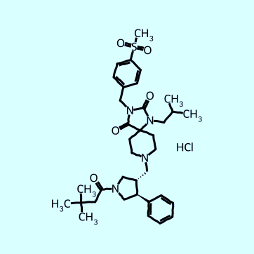 CC(C)CN1C(=O)N(Cc2ccc(S(C)(=O)=O)cc2)C(=O)C12CCN(C[C@H]1CN(C(=O)CC(C)(C)C)C[C@@H]1c1ccccc1)CC2.Cl